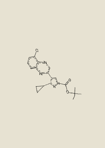 CC(C)(C)OC(=O)n1cc(-c2cnc3c(Cl)cccc3n2)c(C2CC2)n1